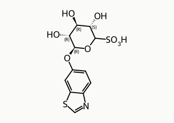 O=S(=O)(O)C1O[C@@H](Oc2ccc3ncsc3c2)[C@H](O)[C@@H](O)[C@@H]1O